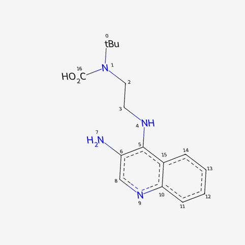 CC(C)(C)N(CCNc1c(N)cnc2ccccc12)C(=O)O